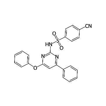 N#Cc1ccc(S(=O)(=O)Nc2nc(Oc3ccccc3)cc(-c3ccccc3)n2)cc1